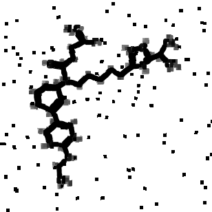 C=C(F)CCC(=O)N(CCCCCc1noc(C(C)C)n1)c1cccc(-c2cnc(OCC)nc2)c1